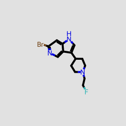 FCCN1CCC(c2c[nH]c3cc(Br)ncc23)CC1